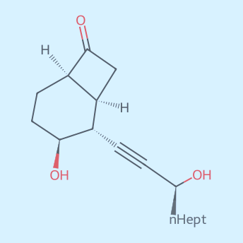 CCCCCCC[C@H](O)C#C[C@H]1[C@@H]2CC(=O)[C@@H]2CC[C@@H]1O